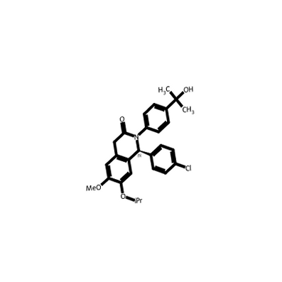 COc1cc2c(cc1OC(C)C)[C@H](c1ccc(Cl)cc1)N(c1ccc(C(C)(C)O)cc1)C(=O)C2